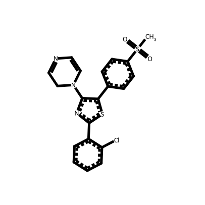 CS(=O)(=O)c1ccc(-c2sc(-c3ccccc3Cl)nc2N2C=CN=CC2)cc1